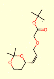 CC(C)(C)OC(=O)COC/C=C\[C@@H]1CCOC(C)(C)O1